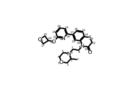 CC1COCCN1CCN1C(=O)CSc2ccc(-c3cccc(OC4COC4)n3)cc21